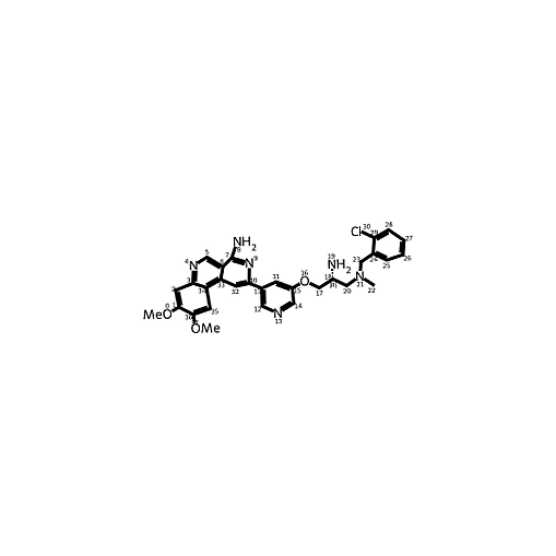 COc1cc2ncc3c(N)nc(-c4cncc(OC[C@H](N)CN(C)Cc5ccccc5Cl)c4)cc3c2cc1OC